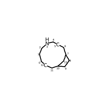 C1CCNCCCC2CCC(CC1)C2